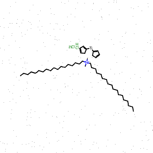 C1=CC[C]([Ti][C]2=CC=CC2)=C1.CCCCCCCCCCCCCCCCCC[N+](C)(C)CCCCCCCCCCCCCCCCCC.Cl.Cl